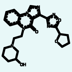 O=c1c2c(-c3noc(C4CCCO4)n3)ncn2c2ccccc2n1CCN1CCCC(O)C1